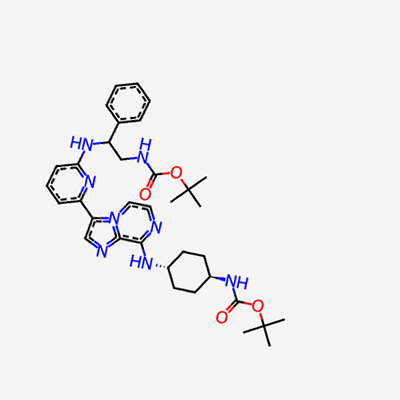 CC(C)(C)OC(=O)NCC(Nc1cccc(-c2cnc3c(N[C@H]4CC[C@H](NC(=O)OC(C)(C)C)CC4)nccn23)n1)c1ccccc1